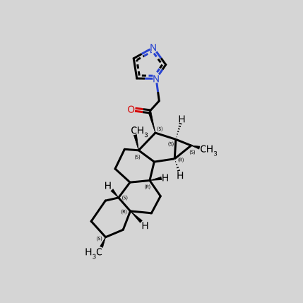 C[C@H]1CC[C@@H]2C3CC[C@@]4(C)C([C@@H]3CC[C@@H]2C1)[C@@H]1[C@H](C)[C@@H]1[C@@H]4C(=O)Cn1ccnc1